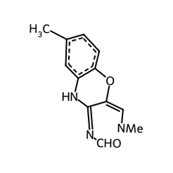 CN/C=C1/Oc2ccc(C)cc2N/C1=N/C=O